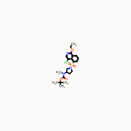 CCOc1ncc(Cl)c2c(S(=O)(=O)N3CCC(N(C)C(=O)OC(C)(C)C)C3)cccc12